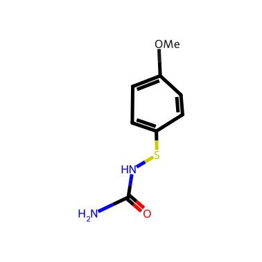 COc1ccc(SNC(N)=O)cc1